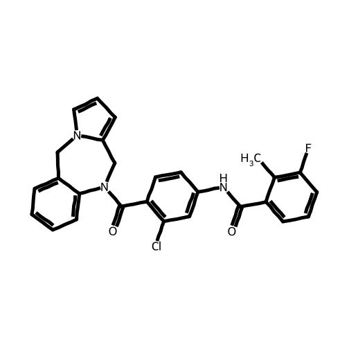 Cc1c(F)cccc1C(=O)Nc1ccc(C(=O)N2Cc3cccn3Cc3ccccc32)c(Cl)c1